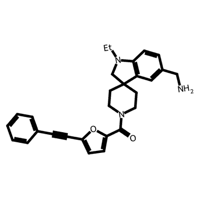 CCN1CC2(CCN(C(=O)c3ccc(C#Cc4ccccc4)o3)CC2)c2cc(CN)ccc21